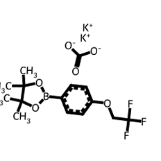 CC1(C)OB(c2ccc(OCC(F)(F)F)cc2)OC1(C)C.O=C([O-])[O-].[K+].[K+]